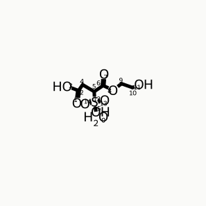 O.O=C(O)CC(C(=O)OCCO)S(=O)(=O)O